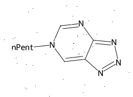 CCCCCn1cnc2nnnc-2c1